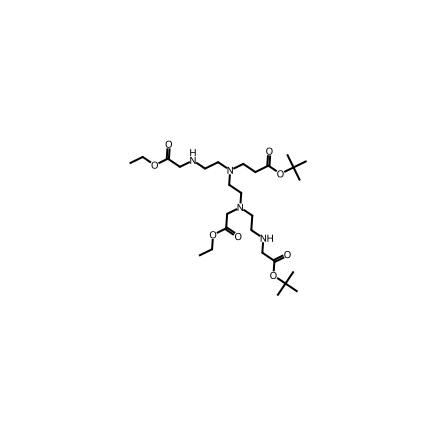 CCOC(=O)CNCCN(CCC(=O)OC(C)(C)C)CCN(CCNCC(=O)OC(C)(C)C)CC(=O)OCC